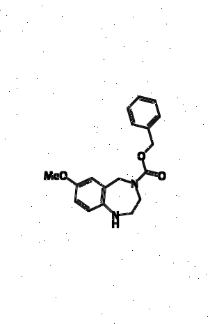 COc1ccc2c(c1)CN(C(=O)OCc1ccccc1)CCN2